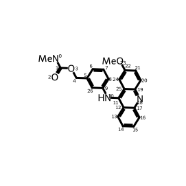 CNC(=O)OCc1cccc(Nc2c3ccccc3nc3ccc(OC)cc23)c1